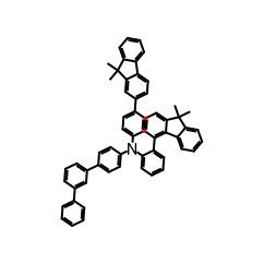 CC1(C)c2ccccc2-c2ccc(-c3ccc(N(c4ccc(-c5cccc(-c6ccccc6)c5)cc4)c4ccccc4-c4cccc5c4-c4ccccc4C5(C)C)cc3)cc21